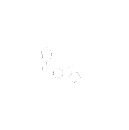 Cc1ccc2c(c1)C(C)(C)c1cc(Nc3ccccc3)ccc1-2